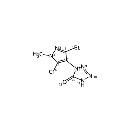 CCc1nn(C)c(Cl)c1-n1nn[nH]c1=O